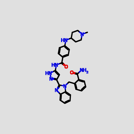 CN1CCC(Nc2ccc(C(=O)Nc3cc(-c4nc5ccccc5n4Cc4ccccc4C(N)=O)n[nH]3)cc2)CC1